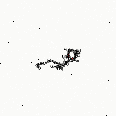 C=C1C[C@@H]2CC[C@]34C[C@@H](O)[C@H](O3)[C@H]3C[C@@H](O4)[C@H]4O[C@H](CC[C@@H]4O3)CC(=O)C[C@@H]3[C@@H](OC)[C@@H](C[C@H](O)CNC(=O)OCc4ccc(N(CCOCCOCCOCCn5cc(COCCOCCOCCC(=O)ON6C(=O)CCC6=O)nn5)C(=O)OCC(C)(C)SSC)cc4)O[C@H]3C[C@H]3O[C@@H](CC[C@@H]1O2)C[C@@H](C)C3=C